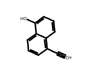 C#Cc1cccc2c(O)cccc12